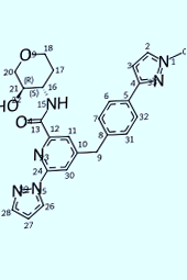 Cn1ccc(-c2ccc(Cc3cc(C(=O)N[C@H]4CCOC[C@@H]4O)nc(-n4cccn4)c3)cc2)n1